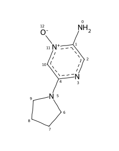 Nc1cnc(N2CCCC2)c[n+]1[O-]